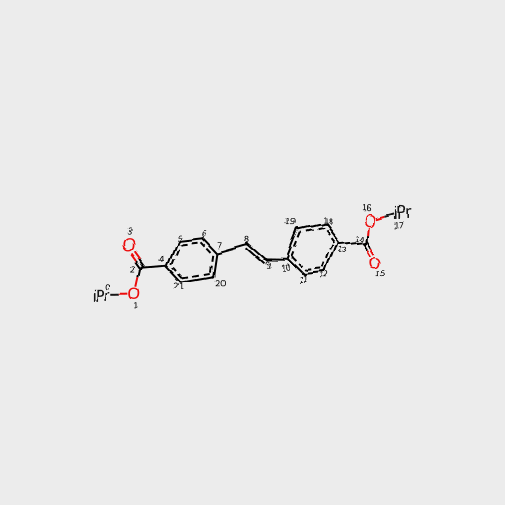 CC(C)OC(=O)c1ccc(C=Cc2ccc(C(=O)OC(C)C)cc2)cc1